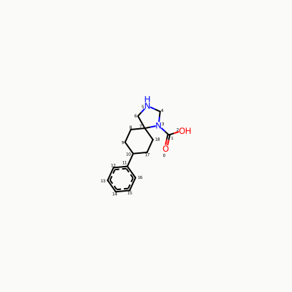 O=C(O)N1CNCC12CCC(c1ccccc1)CC2